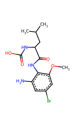 COc1cc(Br)cc(N)c1NC(=O)C(CC(C)C)NC(=O)O